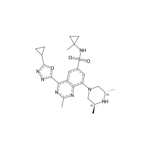 Cc1nc(-c2nnc(C3CC3)o2)c2cc(S(=O)(=O)NC3(C)CC3)cc(N3C[C@H](C)N[C@@H](C)C3)c2n1